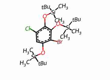 CC(C)(C)[Si](C)(C)Oc1cc(Cl)c(O[Si](C)(C)C(C)(C)C)c(O[Si](C)(C)C(C)(C)C)c1Br